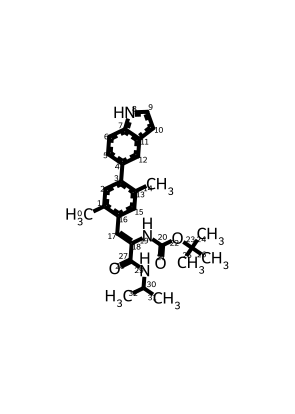 Cc1cc(-c2ccc3[nH]ccc3c2)c(C)cc1/C=C(\NC(=O)OC(C)(C)C)C(=O)NC(C)C